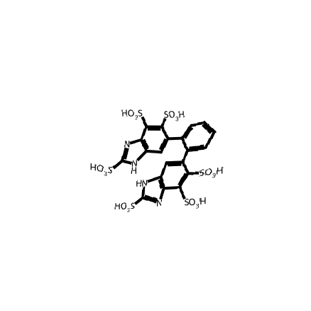 O=S(=O)(O)c1nc2c(S(=O)(=O)O)c(S(=O)(=O)O)c(-c3ccccc3-c3cc4[nH]c(S(=O)(=O)O)nc4c(S(=O)(=O)O)c3S(=O)(=O)O)cc2[nH]1